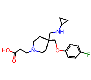 O=C(O)CCN1CCC(CNC2CC2)(COc2ccc(F)cc2)CC1